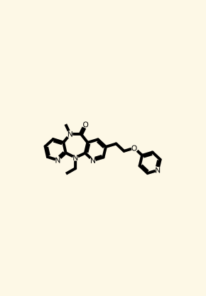 CCN1c2ncc(CCOc3ccncc3)cc2C(=O)N(C)c2cccnc21